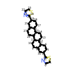 c1csc(-c2ccc3c(ccc4c3ccc3c5ccc(-c6nccs6)cc5ccc34)c2)n1